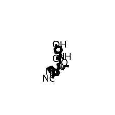 CC1CN(c2ccc(C#N)n3nccc23)CC(C(=O)NC2CCC(O)CC2)O1